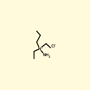 CCC[N+](N)(CC)CC.[Cl-]